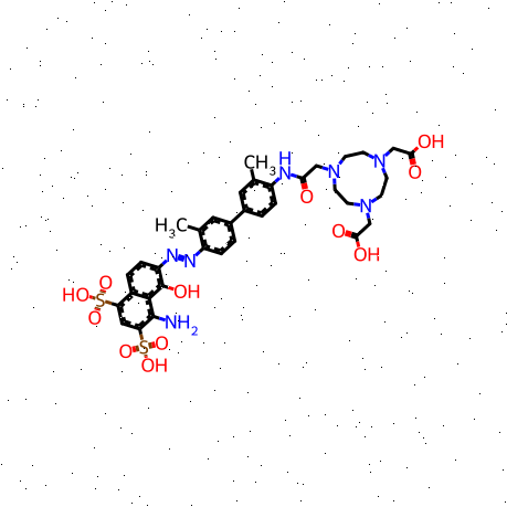 Cc1cc(-c2ccc(NC(=O)CN3CCN(CC(=O)O)CCN(CC(=O)O)CC3)c(C)c2)ccc1N=Nc1ccc2c(S(=O)(=O)O)cc(S(=O)(=O)O)c(N)c2c1O